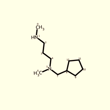 CNCCCN(C)CC1CCCC1